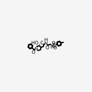 Cc1ccc(S(=O)(=O)N(C)CC(=O)NC(CC2CCN(C(=O)c3ccccc3)CC2)C(=O)O)cc1